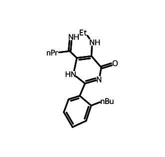 CCCCc1ccccc1-c1nc(=O)c(NCC)c(C(=N)CCC)[nH]1